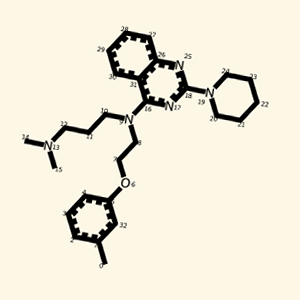 Cc1cccc(OCCN(CCCN(C)C)c2nc(N3CCCCC3)nc3ccccc23)c1